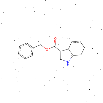 O=C(OCc1ccccc1)C1CNC2CCC=CC21